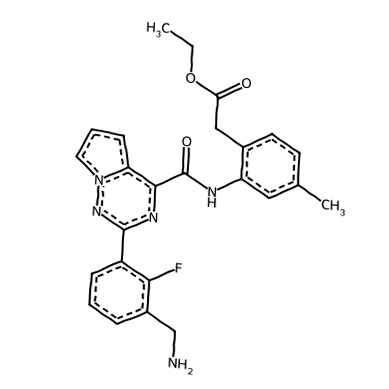 CCOC(=O)Cc1ccc(C)cc1NC(=O)c1nc(-c2cccc(CN)c2F)nn2cccc12